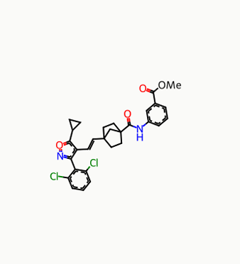 COC(=O)c1cccc(NC(=O)C23CCC(C=Cc4c(-c5c(Cl)cccc5Cl)noc4C4CC4)(CC2)C3)c1